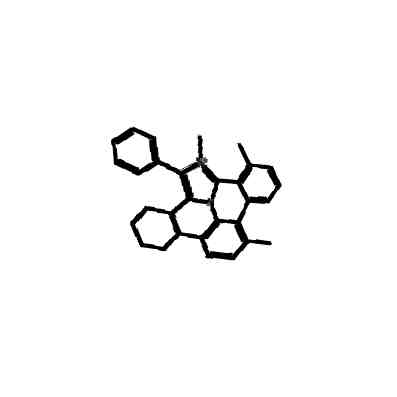 Cc1ccc2c3c1c1cccc(C)c1c1n3c(c(-c3ccccc3)[n+]1C)C13CCCCC21CCCC3